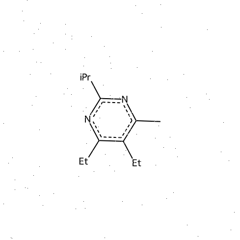 CCc1nc(C(C)C)nc(C)c1CC